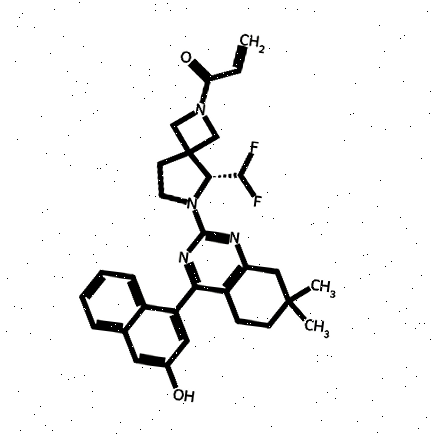 C=CC(=O)N1CC2(CCN(c3nc4c(c(-c5cc(O)cc6ccccc56)n3)CCC(C)(C)C4)[C@H]2C(F)F)C1